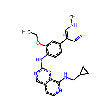 CCOc1cc(/C(C=N)=C/NC)ccc1Nc1ncc2ccnc(NCC3CC3)c2n1